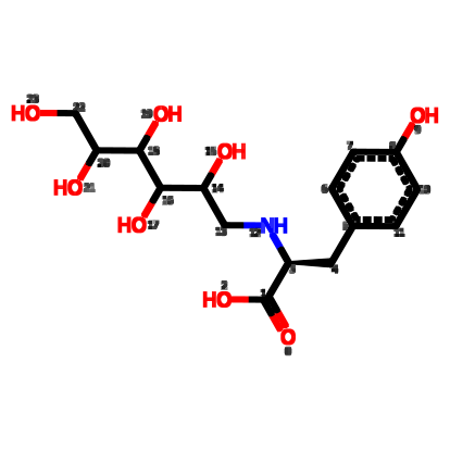 O=C(O)[C@H](Cc1ccc(O)cc1)NCC(O)C(O)C(O)C(O)CO